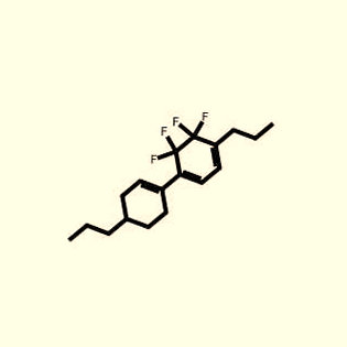 CCCC1=CC=C(C2=CCC(CCC)CC2)C(F)(F)C1(F)F